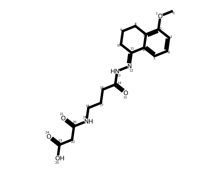 COc1cccc2c1CCCC2=NNC(=O)CCCNC(=O)CC(=O)O